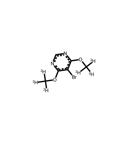 [2H]C([2H])([2H])Oc1ncnc(OC([2H])([2H])[2H])c1Br